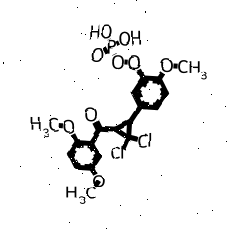 COc1ccc(OC)c(C(=O)C2C(c3ccc(OC)c(OOP(=O)(O)O)c3)C2(Cl)Cl)c1